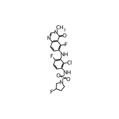 Cn1cnc2ccc(Nc3c(F)ccc(NS(=O)(=O)N4CCC(F)C4)c3Cl)c(F)c2c1=O